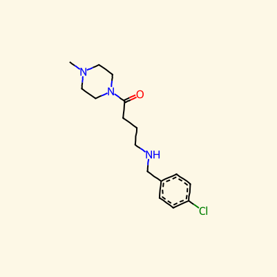 CN1CCN(C(=O)CCCNCc2ccc(Cl)cc2)CC1